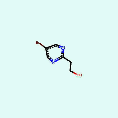 OCCc1ncc(Br)cn1